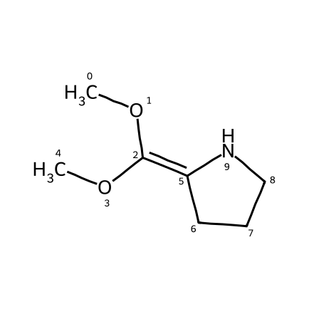 COC(OC)=C1CCCN1